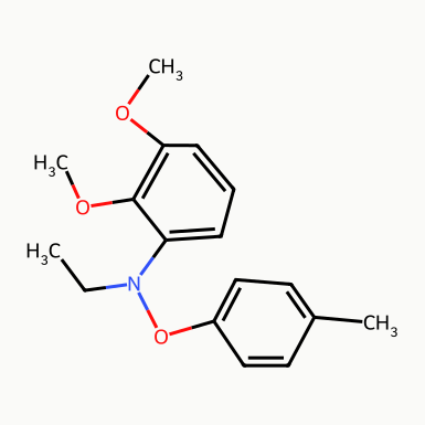 CCN(Oc1ccc(C)cc1)c1cccc(OC)c1OC